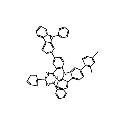 Cc1ccc(-c2ccc3c4ccccc4n(-c4ccc(-c5ccc6c7ccccc7n(-c7ccccc7)c6c5)cc4-c4nc(-c5ccccc5)nc(-c5ccccc5)n4)c3c2)c(C)c1